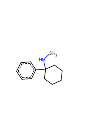 [SiH3]NC1(c2ccccc2)CCCCC1